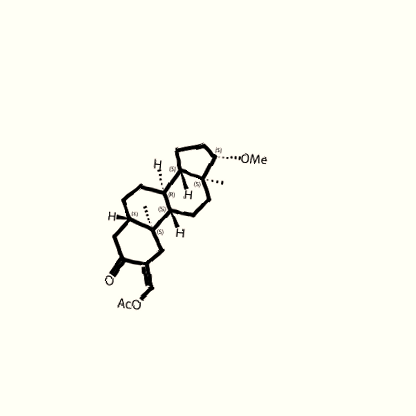 CO[C@H]1CC[C@H]2[C@@H]3CC[C@H]4CC(=O)C(=COC(C)=O)C[C@]4(C)[C@H]3CC[C@]12C